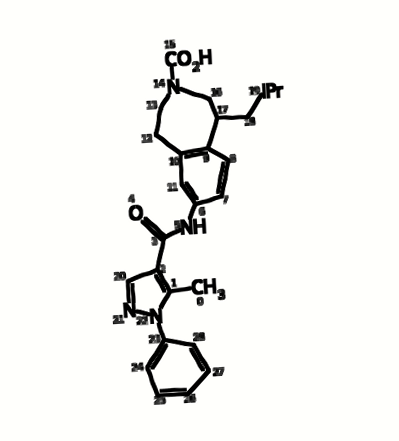 Cc1c(C(=O)Nc2ccc3c(c2)CCN(C(=O)O)CC3CC(C)C)cnn1-c1ccccc1